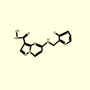 CCCNC(=O)c1cnn2ccc(NCc3ncccc3F)nc12